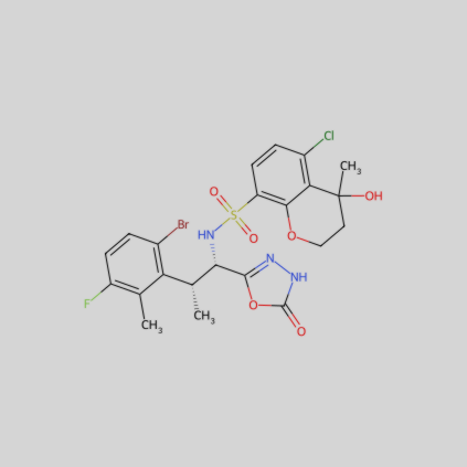 Cc1c(F)ccc(Br)c1[C@@H](C)[C@H](NS(=O)(=O)c1ccc(Cl)c2c1OCCC2(C)O)c1n[nH]c(=O)o1